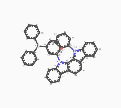 c1ccc(B(c2ccccc2)c2cccc(-n3c4ccccc4c4ccc5c6ccccc6n(-c6ccccc6)c5c43)c2)cc1